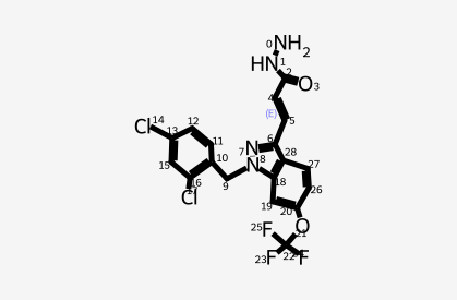 NNC(=O)/C=C/c1nn(Cc2ccc(Cl)cc2Cl)c2cc(OC(F)(F)F)ccc12